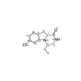 CCC1CNC(=O)C2Cc3ccc(Cl)cc3N12